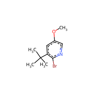 COc1cnc(Br)c(C(C)(C)C)c1